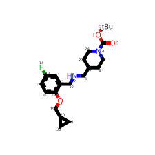 CC(C)(C)OC(=O)N1CCC(CNCc2cc(F)ccc2OCC2CC2)CC1